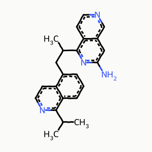 CC(C)c1nccc2c(CC(C)c3nc(N)cc4cnccc34)cccc12